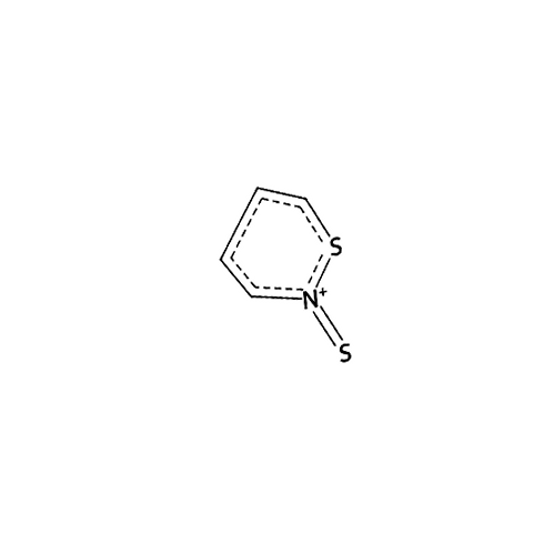 S=[n+]1ccccs1